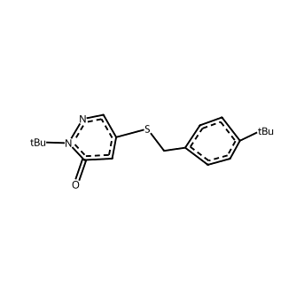 CC(C)(C)c1ccc(CSc2cnn(C(C)(C)C)c(=O)c2)cc1